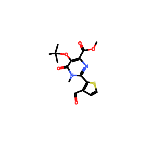 COC(=O)c1nc(-c2sccc2C=O)n(C)c(=O)c1OC(C)(C)C